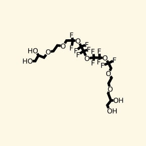 OCC(O)COCCOCC(F)(F)OC(F)(F)C(F)(F)OC(F)(F)C(F)(F)OC(F)(F)COCCOCC(O)CO